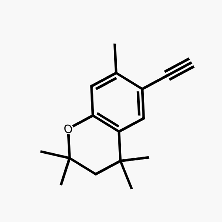 C#Cc1cc2c(cc1C)OC(C)(C)CC2(C)C